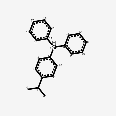 CC(C)c1ccc([SiH](c2ccccc2)c2ccccc2)cc1